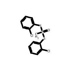 CP(=O)(Sc1ccccc1Cl)Sc1ccccc1Cl